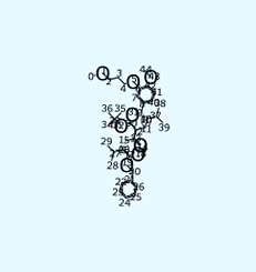 COCCCOc1cc(C[C@@H](CC(C(=O)C[C@H](C(=O)OCc2ccccc2)C(C)C)C(=O)OC(C)(C)C)C(C)C)ccc1OC